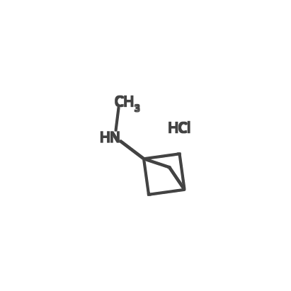 CNC12CC(C1)C2.Cl